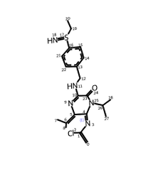 C=C(Cl)/N=C1\C(=C(C)C)N=C(NCc2ccc(S(=N)CC)cc2)C(=O)N1C(C)C